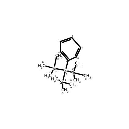 C[Si](C)(C)[Si](c1ccccc1)([Si](C)(C)C)[Si](C)(C)C